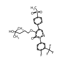 CC(C)(O)CCCOc1c(-c2ccc(S(C)(=O)=O)cc2)cnn(-c2ccc(F)c(C(F)(F)F)c2)c1=O